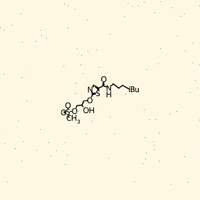 CCC(C)CCCNC(=O)c1cnc(OCC(O)COS(C)(=O)=O)s1